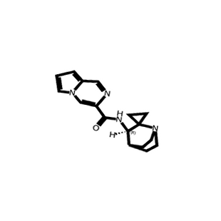 O=C(N[C@@H]1C2CCN(CC2)C12CC2)c1cn2cccc2cn1